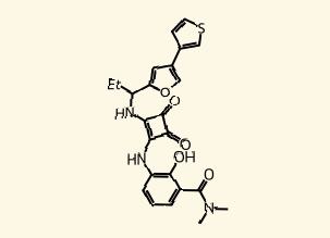 CCC(Nc1c(Nc2cccc(C(=O)N(C)C)c2O)c(=O)c1=O)c1cc(-c2ccsc2)co1